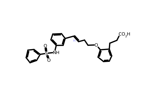 O=C(O)CCc1ccccc1OCC/C=C/c1cccc(NS(=O)(=O)c2ccccc2)c1